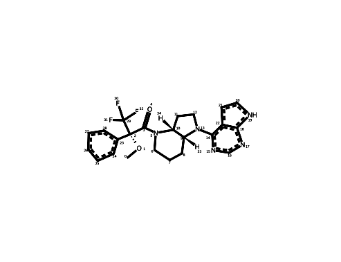 CO[C@](C(=O)N1CCC[C@@H]2[C@H]1CCN2c1ncnc2[nH]ccc12)(c1ccccc1)C(F)(F)F